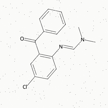 CN(C)C=Nc1ccc(Cl)cc1C(=O)c1ccccc1